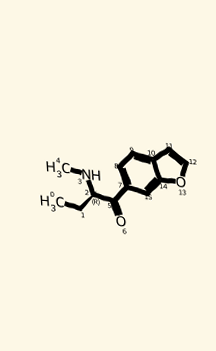 CC[C@@H](NC)C(=O)c1ccc2ccoc2c1